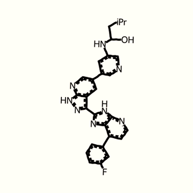 CC(C)CC(O)Nc1cncc(-c2cnc3[nH]nc(-c4nc5c(-c6cccc(F)c6)ccnc5[nH]4)c3c2)c1